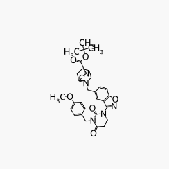 COc1ccc(CN2C(=O)CCN(c3noc4ccc(CN5CC6CCC5CN6C(=O)OC(C)(C)C)cc34)C2=O)cc1